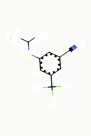 CC(C)Nc1cc(C#N)cc(C(F)(F)F)c1